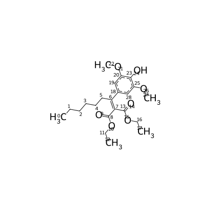 CCCCCCC(=C(C(=O)OCC)C(=O)OCC)c1cc(OC)c(O)c(OC)c1